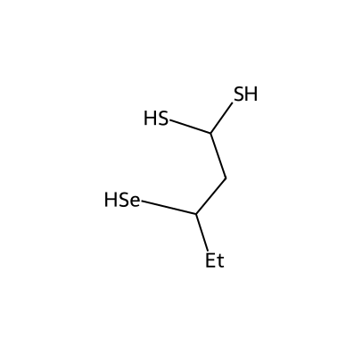 CCC([SeH])CC(S)S